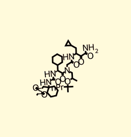 CCCC(C)(C)OC(C)CN(CC(=O)NC(CC1CC1)C(=O)C(N)=O)C(=O)[C@@H](NC(=O)NC1(CS(C)(=O)=O)CCCCC1)C1CCCCC1